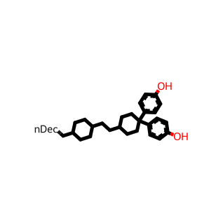 CCCCCCCCCCCC1CCC(CCC2CCC(c3ccc(O)cc3)(c3ccc(O)cc3)CC2)CC1